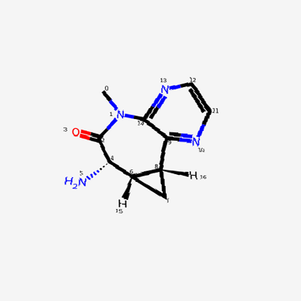 CN1C(=O)[C@@H](N)[C@H]2C[C@H]2c2nccnc21